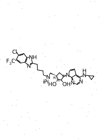 CC(C)N(CCCCc1nc2cc(C(F)(F)F)c(Cl)cc2[nH]1)C[C@H]1C[C@@H](n2ccc3c(NC4CC4)ncnc32)C(O)[C@@H]1O